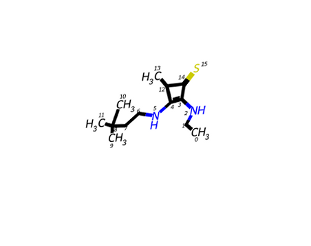 CCNC1=C(NCCC(C)(C)C)C(C)C1=S